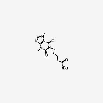 Cn1cnc2c1c(=O)n(CCCCC(=O)C(C)(C)C)c(=O)n2C